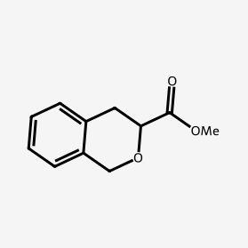 COC(=O)C1Cc2ccccc2CO1